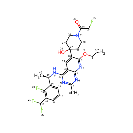 CCOc1nc2nc(C)nc(N[C@H](C)c3cccc(C(F)F)c3F)c2cc1C1(O)CCN(C(=O)CF)CC1